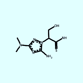 CN(C)c1nc(N)n(C(CO)C([NH])=S)n1